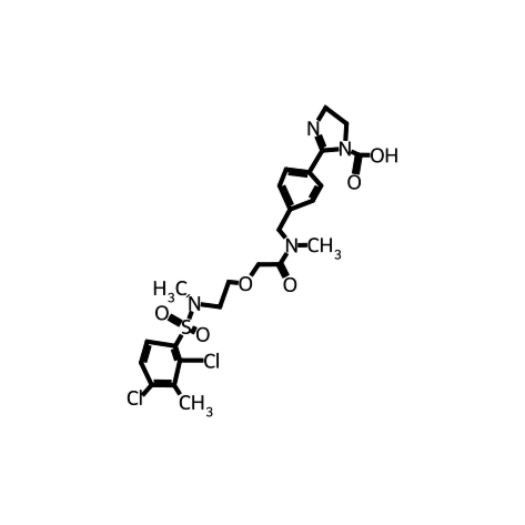 Cc1c(Cl)ccc(S(=O)(=O)N(C)CCOCC(=O)N(C)Cc2ccc(C3=NCCN3C(=O)O)cc2)c1Cl